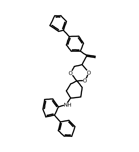 C=C(c1ccc(-c2ccccc2)cc1)C1COC2(CCC(Nc3ccccc3-c3ccccc3)CC2)OO1